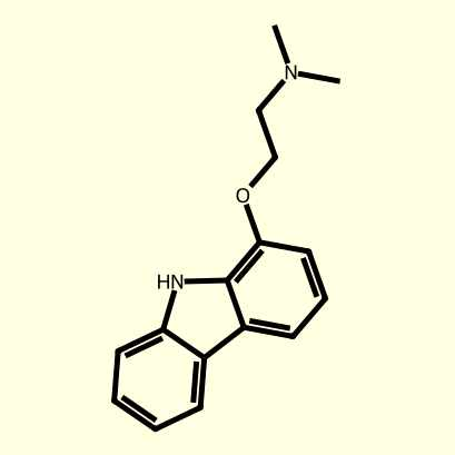 CN(C)CCOc1cccc2c1[nH]c1ccccc12